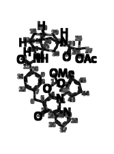 COC(=O)Oc1c(Cc2ccc(C(=O)N[C@@H]3[C@@H]4C[C@@H]5C[C@H]3C[C@](NC(=O)C(C)(C)OC(C)=O)(C5)C4)cc2)c(=O)c2cccnc2n1-c1ccccc1